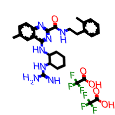 Cc1ccc2nc(C(=O)NCCc3ccccc3C)nc(NC3CCCCC3NC(=N)N)c2c1.O=C(O)C(F)(F)F.O=C(O)C(F)(F)F